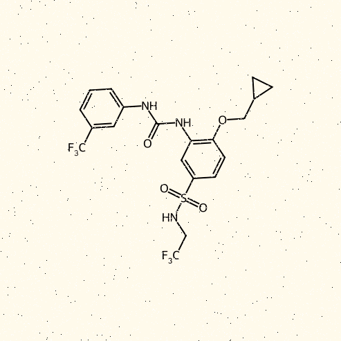 O=C(Nc1cccc(C(F)(F)F)c1)Nc1cc(S(=O)(=O)NCC(F)(F)F)ccc1OCC1CC1